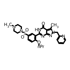 CCCOc1ccc(S(=O)(=O)N2CCN(C)CC2)cc1-c1nc2nn(Cc3ccccn3)c(C)c2c(=O)[nH]1